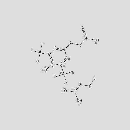 CC(C)(C)c1cc(CCC(=O)O)cc(C(C)(C)C)c1O.CCCC(O)O